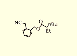 CCCCC(CC)C(=O)OCc1ccccc1CC#N